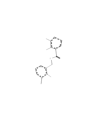 O=C(O)c1cccc(C(=O)NCc2cccc(F)c2Cl)c1O